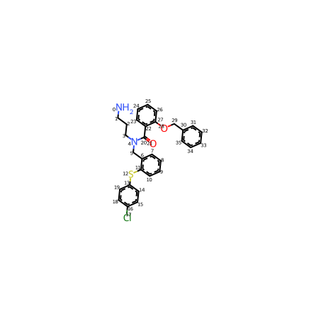 NCCCN(Cc1ccccc1Sc1ccc(Cl)cc1)C(=O)c1ccccc1OCc1ccccc1